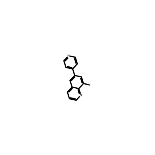 Fc1cc(-c2ccncc2)cc2cccnc12